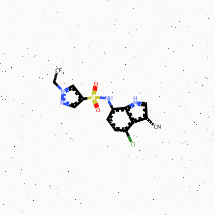 N#Cc1c[nH]c2c(NS(=O)(=O)c3cnn(CC(F)(F)F)c3)ccc(Cl)c12